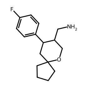 NCC1COC2(CCCC2)CC1c1ccc(F)cc1